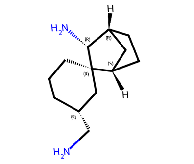 NC[C@@H]1CCC[C@@]2(C1)[C@H]1CC[C@H](C1)[C@H]2N